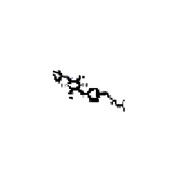 CN(C)CCOCc1ccc(/C=c2\[nH]c(=O)/c(=C/c3ccoc3)[nH]c2=O)cc1